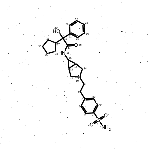 NS(=O)(=O)c1ccc(CCN2CC3C(C2)C3NC(=O)C(O)(c2ccccc2)C2CCCC2)cc1